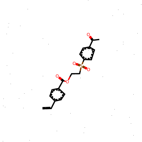 C=Cc1ccc(C(=O)OCCS(=O)(=O)c2ccc(C(C)=O)cc2)cc1